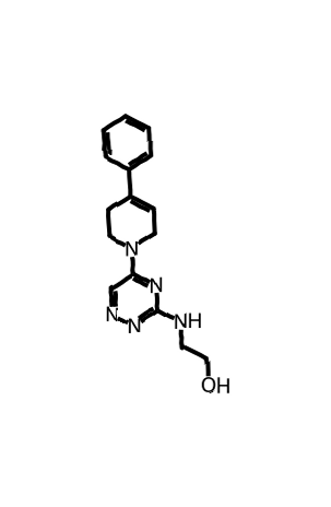 OCCNc1nncc(N2CC=C(c3ccccc3)CC2)n1